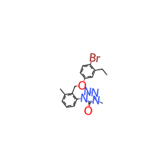 CCc1cc(OCc2c(C)cccc2-n2nnn(C)c2=O)ccc1Br